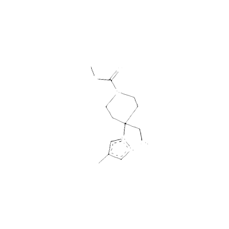 Cc1cnn(C2(CC#N)CCN(C(=O)OC(C)(C)C)CC2)c1